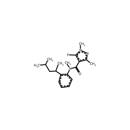 Cc1nn(C)c(F)c1C(=O)N(C)c1ccccc1C(C)CC(C)C